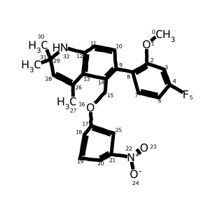 COc1cc(F)ccc1-c1ccc2c(c1COc1cccc([N+](=O)[O-])c1)C(C)=CC(C)(C)N2